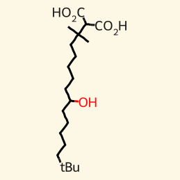 CC(C)(C)CCCCCC(O)CCCCCC(C)(C)C(C(=O)O)C(=O)O